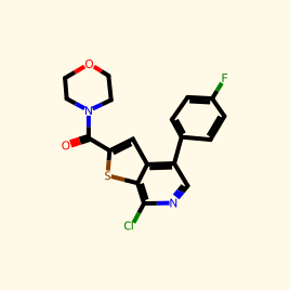 O=C(c1cc2c(-c3ccc(F)cc3)cnc(Cl)c2s1)N1CCOCC1